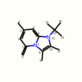 C=C1C=C(C)C=C2N1C(C)=C(C)N2C(C)(C)C